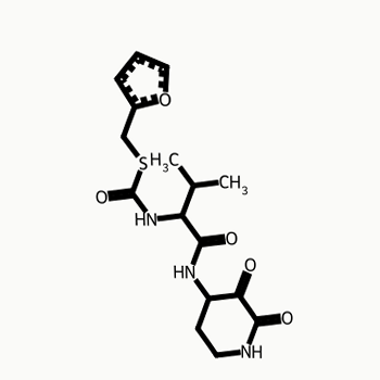 CC(C)C(NC(=O)SCc1ccco1)C(=O)NC1CCNC(=O)C1=O